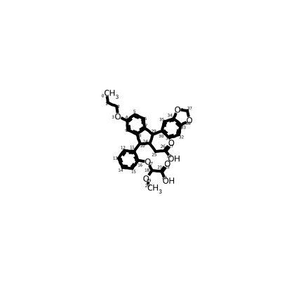 CCCOc1ccc2c(c1)C(c1ccccc1OC(OC)C(=O)O)C(CC(=O)O)C2c1ccc2c(c1)OCO2